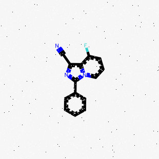 N#Cc1nc(-c2ccccc2)n2cccc(F)c12